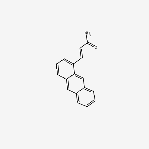 NC(=O)C=Cc1cccc2cc3ccccc3cc12